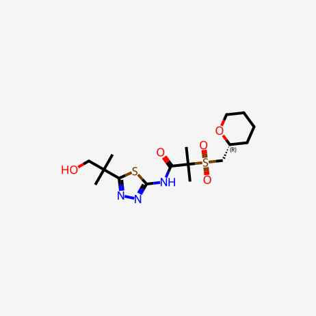 CC(C)(CO)c1nnc(NC(=O)C(C)(C)S(=O)(=O)C[C@H]2CCCCO2)s1